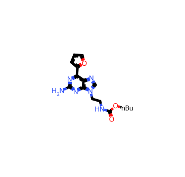 CCCCOC(=O)NCCn1cnc2c(-c3ccco3)nc(N)nc21